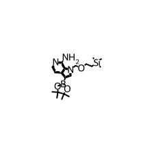 CC1(C)OB(c2cn(COCC[Si](C)(C)C)c3c(N)nccc23)OC1(C)C